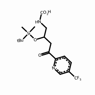 CC(C)(C)[Si](C)(C)OC(CNC(=O)O)CC(=O)c1ccc(C(F)(F)F)cn1